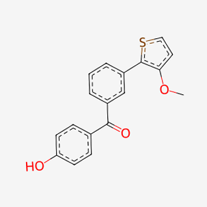 COc1ccsc1-c1cccc(C(=O)c2ccc(O)cc2)c1